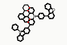 c1ccc(-n2c3ccccc3c3ccc(-c4ccc(N(c5ccc(-c6cccc7oc8ccccc8c67)cc5)c5ccccc5-c5cccc6cccc(C7CCCCC7)c56)cc4)cc32)cc1